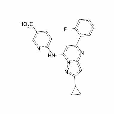 O=C(O)c1ccc(Nc2cc(-c3ccccc3F)nc3cc(C4CC4)nn23)nc1